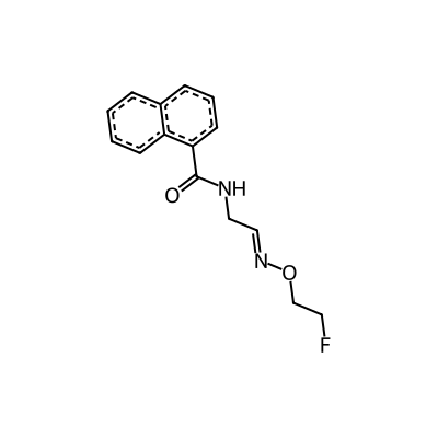 O=C(NCC=NOCCF)c1cccc2ccccc12